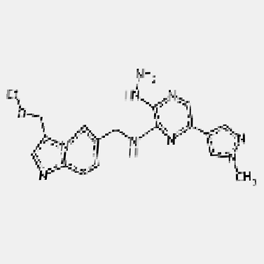 CCOCc1cnc2ccc(CNc3nc(-c4cnn(C)c4)cnc3NN)cn12